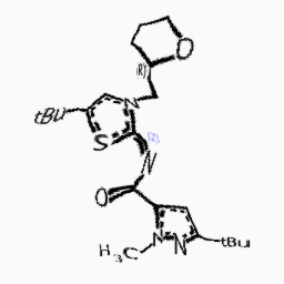 Cn1nc(C(C)(C)C)cc1C(=O)/N=c1\sc(C(C)(C)C)cn1C[C@H]1CCCO1